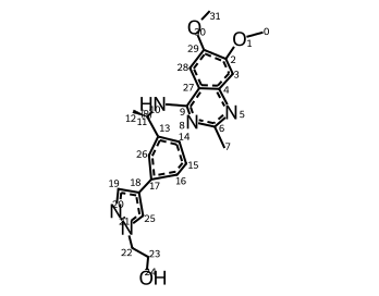 COc1cc2nc(C)nc(N[C@H](C)c3cccc(-c4cnn(CCO)c4)c3)c2cc1OC